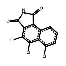 O=C1NC(=O)c2c1c(Cl)c(Cl)c1c(Cl)cccc21